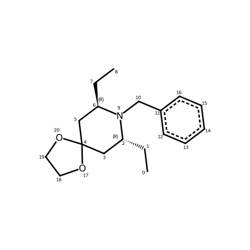 CC[C@@H]1CC2(C[C@@H](CC)N1Cc1ccccc1)OCCO2